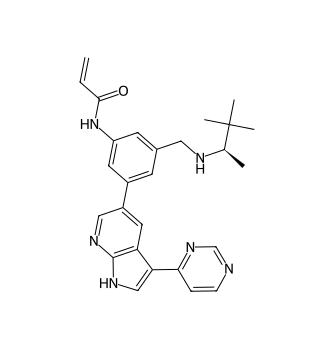 C=CC(=O)Nc1cc(CN[C@H](C)C(C)(C)C)cc(-c2cnc3[nH]cc(-c4ccncn4)c3c2)c1